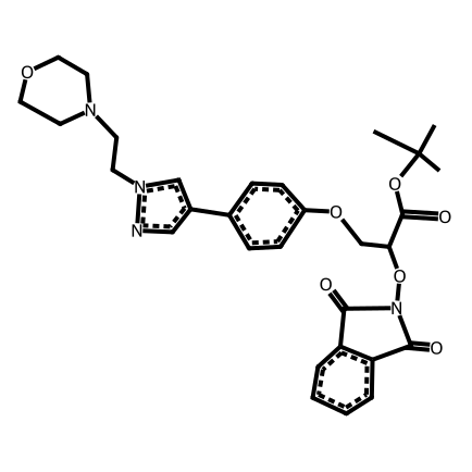 CC(C)(C)OC(=O)C(COc1ccc(-c2cnn(CCN3CCOCC3)c2)cc1)ON1C(=O)c2ccccc2C1=O